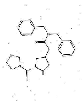 O=C(CC1CN[C@H](C(=O)N2CCSC2)C1)N(Cc1ccccc1)Cc1ccccc1